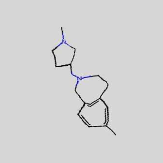 Cc1ccc2c(c1)CCN(C1CCN(C)C1)C2